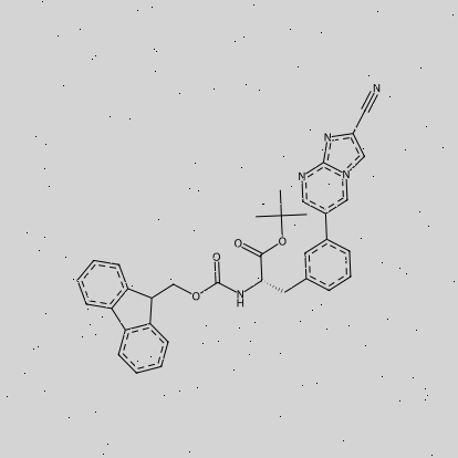 CC(C)(C)OC(=O)[C@H](Cc1cccc(-c2cnc3nc(C#N)cn3c2)c1)NC(=O)OCC1c2ccccc2-c2ccccc21